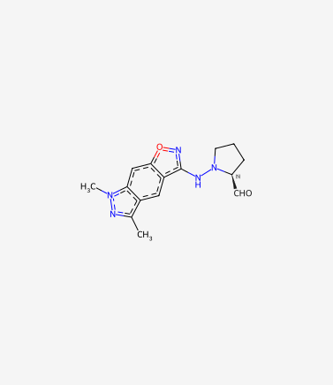 Cc1nn(C)c2cc3onc(NN4CCC[C@H]4C=O)c3cc12